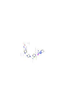 Cn1c(C(=O)Nc2ccc(Nc3ccc(Nc4ccc(N5CCC(O)CC5)cc4)cc3)c(Cl)c2)cc2ccccc21